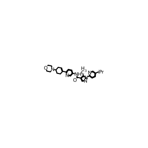 Cc1c(C(=O)Nc2ccc(C3=CCC(N4CCOCC4)CC3)nc2)cnn1-c1ccc(C(C)C)cn1